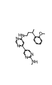 CNc1ncc(-c2cc(NCCC(C)c3ccccc3OC)ncn2)cn1